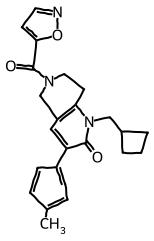 Cc1ccc(-c2cc3c(n(CC4CCC4)c2=O)CCN(C(=O)c2ccno2)C3)cc1